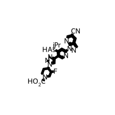 CC(C)[AsH]c1cc(-n2ncc3cc(C#N)cnc32)ncc1-c1cn(C2CCN(C(=O)O)CC2F)nn1